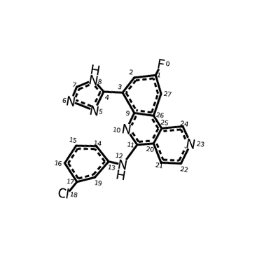 Fc1cc(-c2nnc[nH]2)c2nc(Nc3cccc(Cl)c3)c3ccncc3c2c1